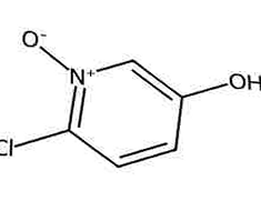 [O-][n+]1cc(O)ccc1Cl